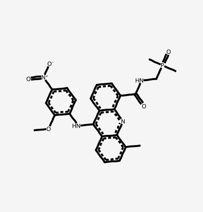 COc1cc([N+](=O)[O-])ccc1Nc1c2cccc(C)c2nc2c(C(=O)NCP(C)(C)=O)cccc12